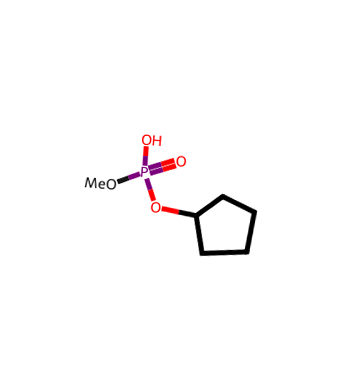 COP(=O)(O)OC1CCCC1